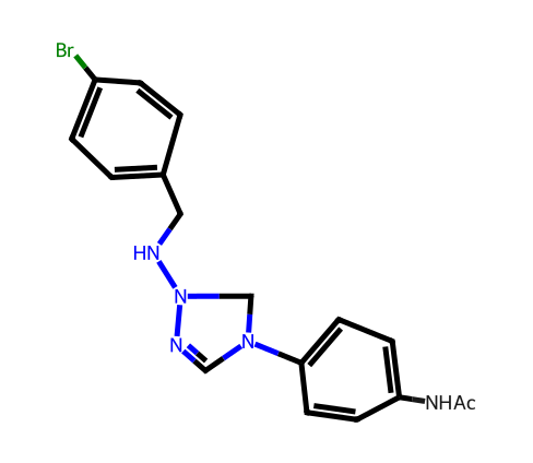 CC(=O)Nc1ccc(N2C=NN(NCc3ccc(Br)cc3)C2)cc1